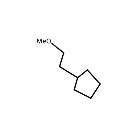 [CH2]OCCC1CCCC1